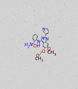 COCCOc1cc2c(Nc3ccccc3C(N)=O)nc(-c3cccnc3)nc2cc1OC